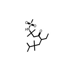 CCC(CC(C)(C)C(C)C)C(=O)CC(C)(C)NS(C)(=O)=O